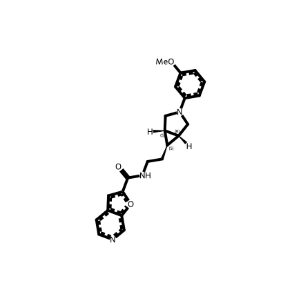 COc1cccc(N2C[C@@H]3[C@@H](CCNC(=O)c4cc5ccncc5o4)[C@@H]3C2)c1